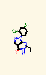 CCc1nc2c(cnn2-c2ccc(Cl)cc2Cl)c(=O)[nH]1